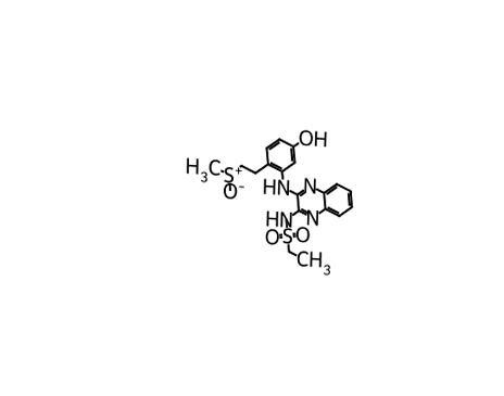 CCS(=O)(=O)Nc1nc2ccccc2nc1Nc1cc(O)ccc1CC[S+](C)[O-]